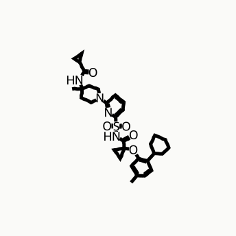 Cc1ccc(C2CCCCC2)c(OC2(C(=O)NS(=O)(=O)c3cccc(N4CCC(C)(NC(=O)C5CC5)CC4)n3)CC2)c1